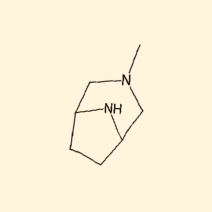 CN1CC2CCC(C1)N2